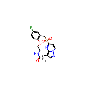 Cc1cnn2ccc(S(=O)(=O)Cc3cc(F)ccc3OCCNC=O)nc12